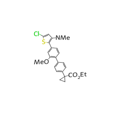 CCOC(=O)C1(c2ccc(-c3ccc(-c4sc(Cl)cc4NC)cc3OC)cc2)CC1